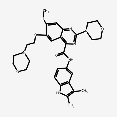 COc1cc2nc(N3CCOCC3)nc(C(=O)Nc3ccc4[nH]c(C)c(C)c4c3)c2cc1OCCN1CCOCC1